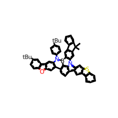 CC(C)(C)c1ccc(N2B3c4cc5c(cc4-n4c6cc7sc8ccccc8c7cc6c6ccc(c3c64)-c3cc4oc6ccc(C(C)(C)C)cc6c4cc32)C(C)(C)c2ccccc2-5)cc1